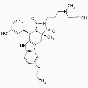 C#CCN(C)CCCN1C(=O)N2[C@H](c3cccc(O)c3)c3[nH]c4ccc(OCC)cc4c3C[C@@]2(C)C1=O